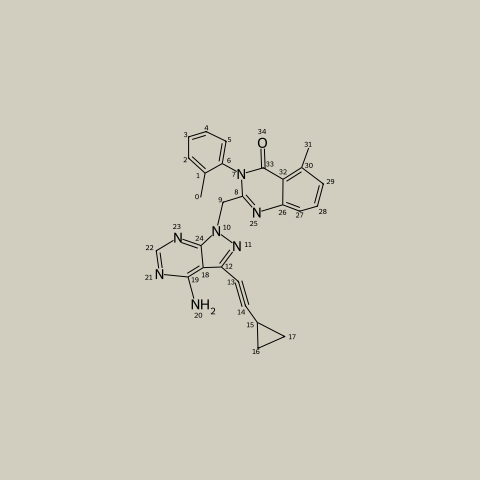 Cc1ccccc1-n1c(Cn2nc(C#CC3CC3)c3c(N)ncnc32)nc2cccc(C)c2c1=O